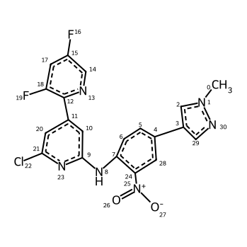 Cn1cc(-c2ccc(Nc3cc(-c4ncc(F)cc4F)cc(Cl)n3)c([N+](=O)[O-])c2)cn1